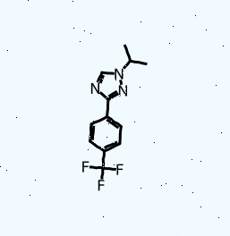 CC(C)n1cnc(-c2ccc(C(F)(F)F)cc2)n1